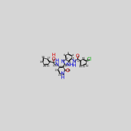 O=C(Nc1cccc2nc(-c3c(NC[C@H](O)c4ccccc4)cc[nH]c3=O)[nH]c12)c1cccc(Cl)c1